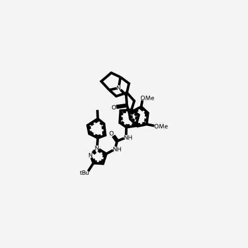 COc1ccc(C(=O)CN2C3CCC2CC(Cc2ccc(NC(=O)Nc4cc(C(C)(C)C)nn4-c4ccc(C)cc4)cc2)C3)c(OC)c1